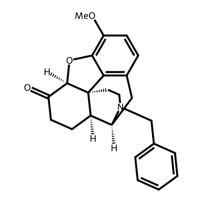 COc1ccc2c3c1O[C@@H]1C(=O)CC[C@@H]4[C@H](C2)N(Cc2ccccc2)CC[C@@]314